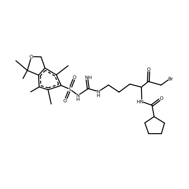 Cc1c(C)c(S(=O)(=O)NC(=N)NCCCC(NC(=O)C2CCCC2)C(=O)CBr)c(C)c2c1C(C)(C)OC2